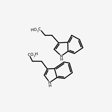 O=C(O)CCc1c[nH]c2ccccc12.O=C(O)CCc1c[nH]c2ccccc12